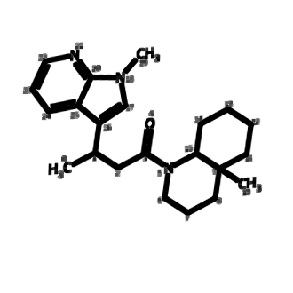 CC(CC(=O)N1CCCC2(C)CCCCC12)c1cn(C)c2ncccc12